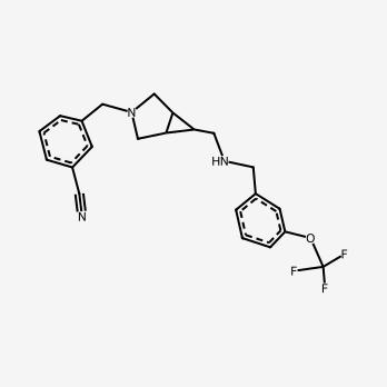 N#Cc1cccc(CN2CC3C(CNCc4cccc(OC(F)(F)F)c4)C3C2)c1